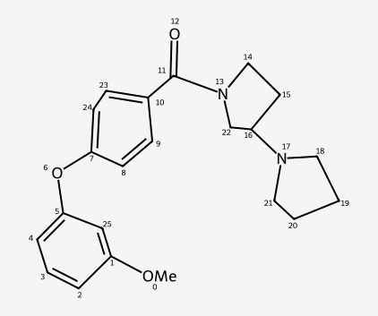 COc1cccc(Oc2ccc(C(=O)N3CCC(N4CCCC4)C3)cc2)c1